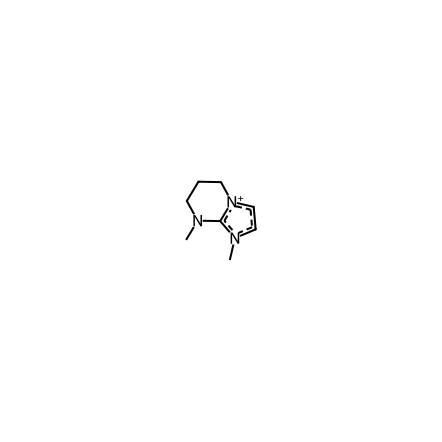 CN1CCC[n+]2ccn(C)c21